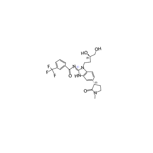 CN1CC[C@@H](c2ccc3c(c2)[nH]/c(=N\C(=O)c2cccc(C(F)(F)F)c2)n3CC[C@@H](O)CO)C1=O